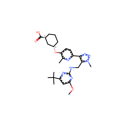 COc1cc(C(C)(C)C)nc(NCc2c(-c3ccc(O[C@H]4CCC[C@H](C(=O)O)C4)c(C)n3)nnn2C)n1